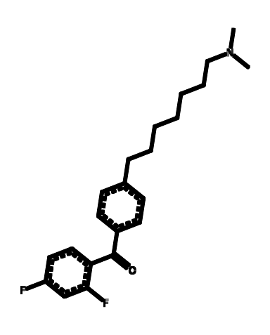 CN(C)CCCCCCCc1ccc(C(=O)c2ccc(F)cc2F)cc1